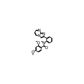 COc1ccc(C(=O)N(C)c2ccccc2-c2cn3cccnc3n2)c(OC)c1